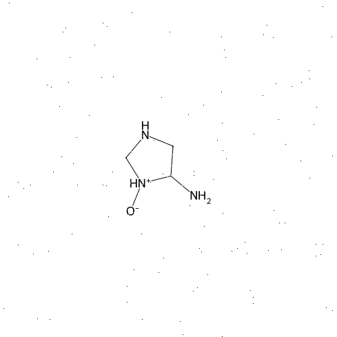 NC1CNC[NH+]1[O-]